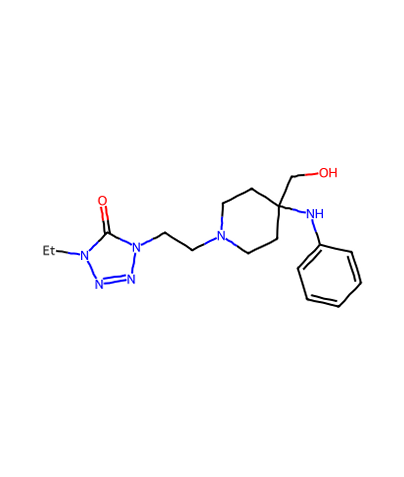 CCn1nnn(CCN2CCC(CO)(Nc3ccccc3)CC2)c1=O